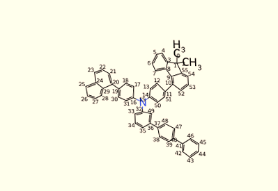 CC1(C)c2ccccc2-c2c(-c3ccc(N(c4ccc(-c5cccc6ccccc56)cc4)c4cccc(-c5ccc(-c6ccccc6)cc5)c4)cc3)cccc21